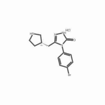 Cl.O=c1[nH]nc(C[C@@H]2CCNC2)n1-c1ccc(Br)cc1